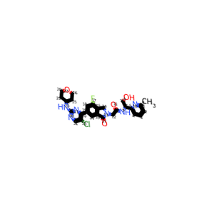 Cc1cccc(C(CO)NC(=O)CN2Cc3c(F)cc(-c4nc(NC5CCOCC5)ncc4Cl)cc3C2=O)n1